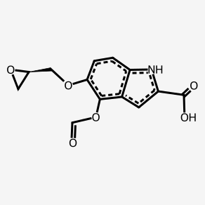 O=COc1c(OC[C@H]2CO2)ccc2[nH]c(C(=O)O)cc12